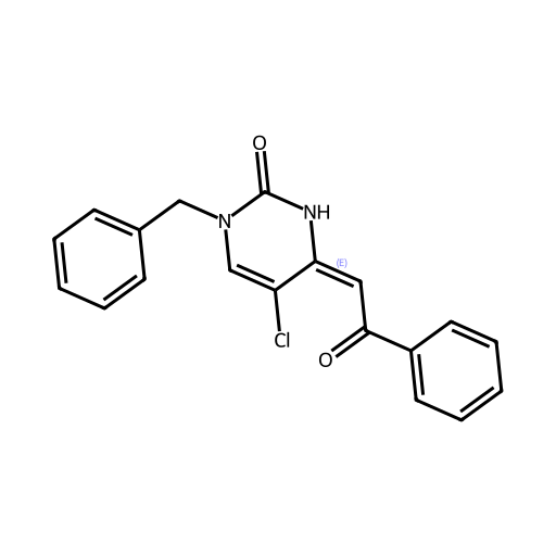 O=C(/C=C1/NC(=O)N(Cc2ccccc2)C=C1Cl)c1ccccc1